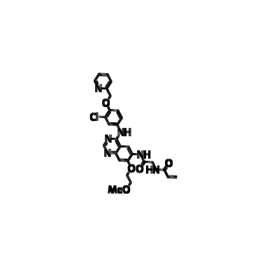 C=CC(=O)NCC(=O)Nc1cc2c(Nc3ccc(OCc4ccccn4)c(Cl)c3)ncnc2cc1OCCOC